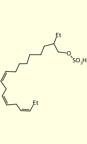 CC/C=C\C/C=C\C/C=C\CCCCCCC(CC)COS(=O)(=O)O